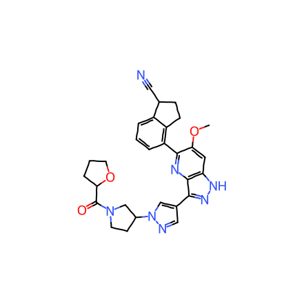 COc1cc2[nH]nc(-c3cnn(C4CCN(C(=O)C5CCCO5)C4)c3)c2nc1-c1cccc2c1CCC2C#N